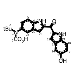 CC(C)(C)N(C(=O)O)c1ccc2[nH]c(C(=O)c3cc4cc(O)ccc4[nH]3)cc2c1